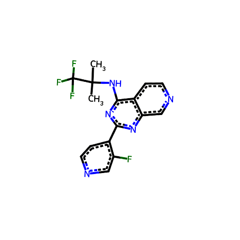 CC(C)(Nc1nc(-c2ccncc2F)nc2cnccc12)C(F)(F)F